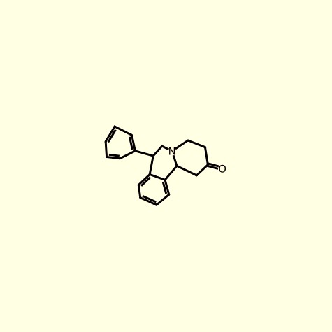 O=C1CCN2CC(c3ccccc3)c3ccccc3C2C1